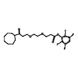 O=C(CCOCCOCCC(=O)C1CCCCCCC1)Oc1c(F)c(F)cc(F)c1F